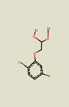 CCOC(COc1cc(Br)ccc1Cl)OCC